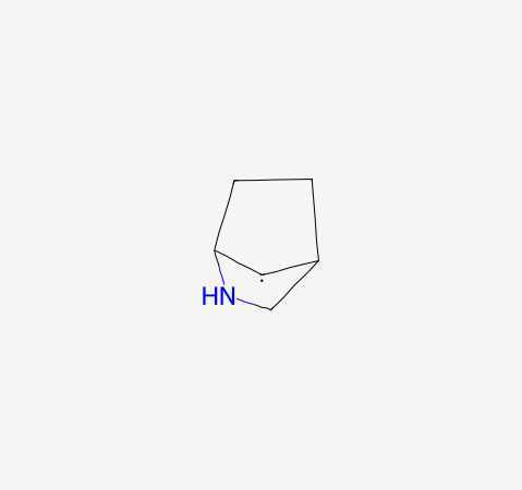 [CH]1C2CCC1NC2